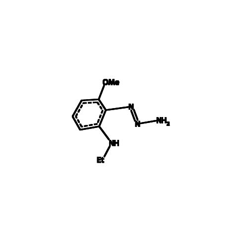 CCNc1cccc(OC)c1N=NN